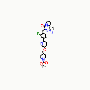 CC(C)OC(=O)N1CCC(COc2ccc(-c3ccc(CC(N)C(=O)N4CCC[C@H]4C#N)c(F)c3)nc2)CC1